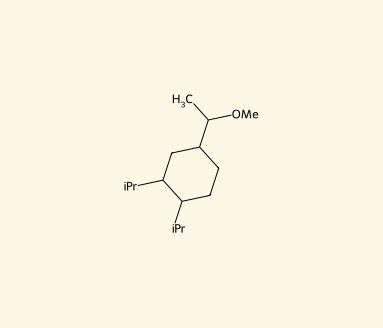 COC(C)C1CCC(C(C)C)C(C(C)C)C1